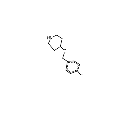 Fc1ccc(COC2CCNCC2)cc1